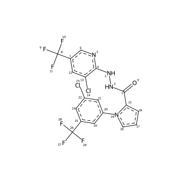 O=C(NNc1ncc(C(F)(F)F)cc1Cl)c1cccn1-c1cc(Cl)cc(C(F)(F)F)c1